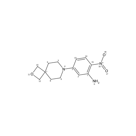 Nc1cc(N2CCC3(CC2)COC3)ccc1[N+](=O)[O-]